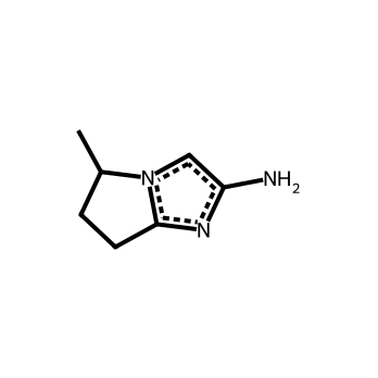 CC1CCc2nc(N)cn21